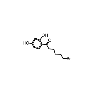 O=C(CCCCCBr)c1ccc(O)cc1O